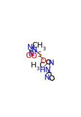 CCc1c(OCCSCCn2c([N+](=O)[O-])cnc2C)ccnc1CNc1cnc2ccccc2c1